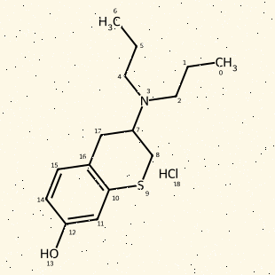 CCCN(CCC)C1CSc2cc(O)ccc2C1.Cl